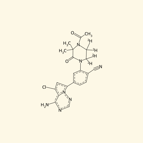 [2H]C1([2H])N(c2cc(-c3cc(Cl)c4c(N)ncnn34)ccc2C#N)C(=O)C(C)(C)N(C(C)=O)C1([2H])[2H]